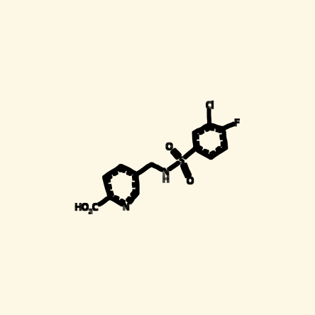 O=C(O)c1ccc(CNS(=O)(=O)c2ccc(F)c(Cl)c2)cn1